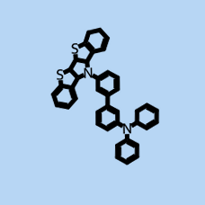 C1=CCC(N(c2ccccc2)c2cccc(-c3cccc(N4C5C6=C(CCC=C6)SC5C5Sc6ccccc6C54)c3)c2)C=C1